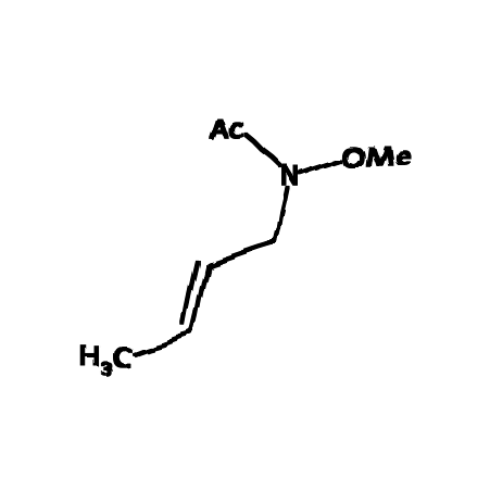 CC=CCN(OC)C(C)=O